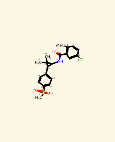 COc1ccc(Cl)cc1C(=O)NC1C(c2ccc(S(C)(=O)=O)cc2)C1(C)C